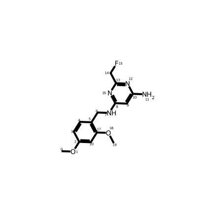 COc1ccc(CNc2cc(N)nc(CF)n2)c(OC)c1